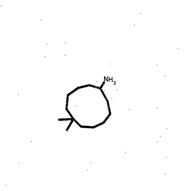 CC1(C)CCCCCC(N)CCCC1